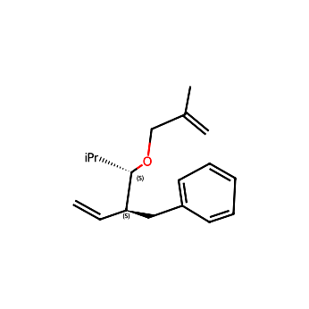 C=C[C@H](Cc1ccccc1)[C@@H](OCC(=C)C)C(C)C